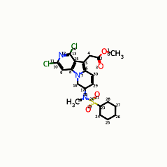 COC(=O)Cc1c2n(c3cc(Cl)nc(Cl)c13)C[C@H](N(C)S(=O)(=O)C1CCCCC1)C=C2